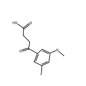 COc1cc(F)cc(C(=O)CCC(=O)O)c1